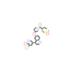 COc1ncc(-c2ccnc3ccc(O[C@H]4CCN(C(=O)C5CC[SH](C)(=O)CC5)C4)cc23)cc1Cl